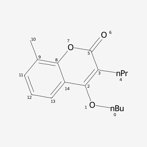 CCCCOc1c(CCC)c(=O)oc2c(C)cccc12